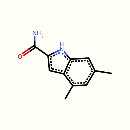 Cc1cc(C)c2cc(C(N)=O)[nH]c2c1